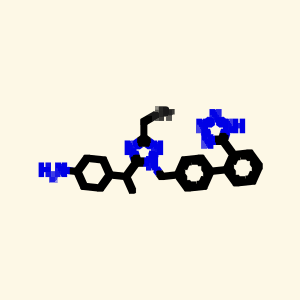 CC(C)Cc1nc(C(C)C2CCC(N)CC2)n(Cc2ccc(-c3ccccc3-c3nnn[nH]3)cc2)n1